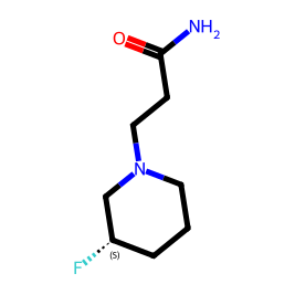 NC(=O)CCN1CCC[C@H](F)C1